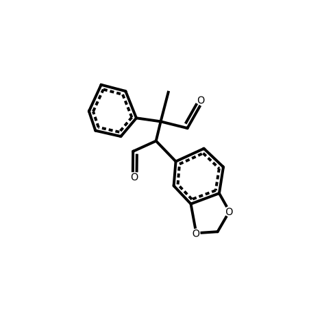 CC(C=O)(c1ccccc1)C(C=O)c1ccc2c(c1)OCO2